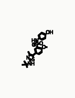 COc1ccc(-c2sc(NC(C)(C)C)nc2C)cc1S(=O)(=O)Nc1ccc(O)cc1